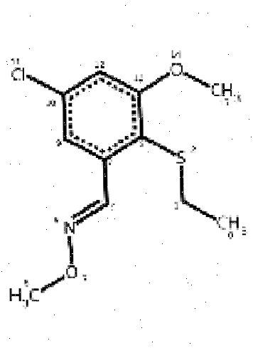 CCSc1c(C=NOC)cc(Cl)cc1OC